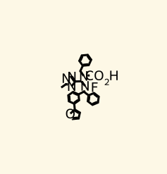 Cc1nnc2n1-c1ccc(-c3ccco3)cc1C(c1ccccc1F)=NC2N(Cc1ccccc1)C(=O)O